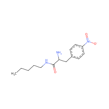 CCCCCNC(=O)C(N)Cc1ccc([N+](=O)[O-])cc1